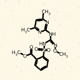 CON=C(Nc1nc(C)cc(C)n1)NS(=O)(=O)c1ccccc1C(=O)OC